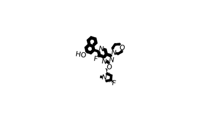 CN1C[C@H](F)C[C@H]1COc1nc(N2CCCOCC2)c2cnc(-c3cc(O)cc4ccccc34)c(F)c2n1